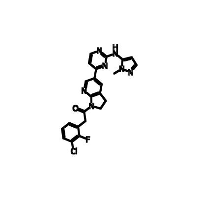 Cn1nccc1Nc1nccc(-c2cnc3c(c2)CCN3C(=O)Cc2cccc(Cl)c2F)n1